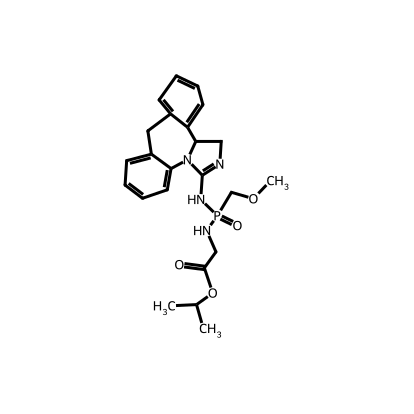 COCP(=O)(NCC(=O)OC(C)C)NC1=NCC2c3ccccc3Cc3ccccc3N12